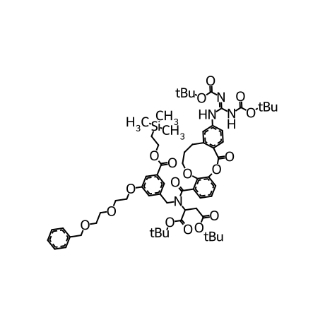 CC(C)(C)OC(=O)CC(C(=O)OC(C)(C)C)N(Cc1cc(OCCOCCOCc2ccccc2)cc(C(=O)OCC[Si](C)(C)C)c1)C(=O)c1cccc2c1OCCCc1cc(NC(=NC(=O)OC(C)(C)C)NC(=O)OC(C)(C)C)ccc1C(=O)O2